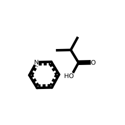 CC(C)C(=O)O.c1ccncc1